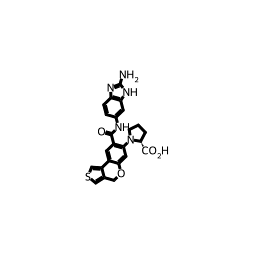 Nc1nc2ccc(NC(=O)c3cc4c(cc3N3CCC[C@@H]3C(=O)O)OCc3cscc3-4)cc2[nH]1